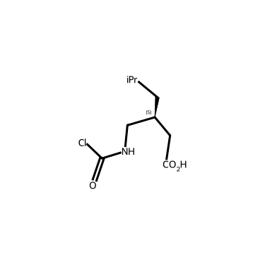 CC(C)C[C@H](CNC(=O)Cl)CC(=O)O